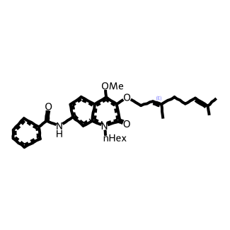 CCCCCCn1c(=O)c(OC/C=C(\C)CCC=C(C)C)c(OC)c2ccc(NC(=O)c3ccccc3)cc21